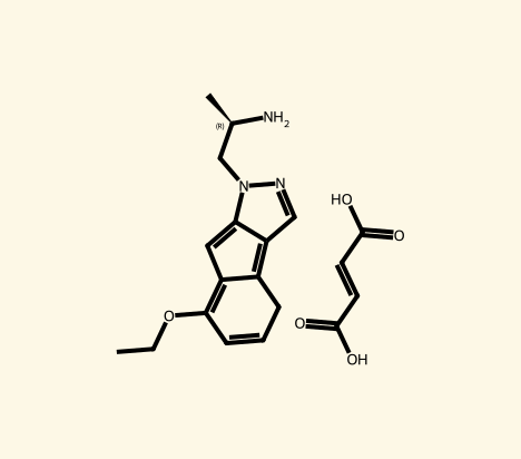 CCOC1=C2C=c3c(cnn3C[C@@H](C)N)=C2CC=C1.O=C(O)C=CC(=O)O